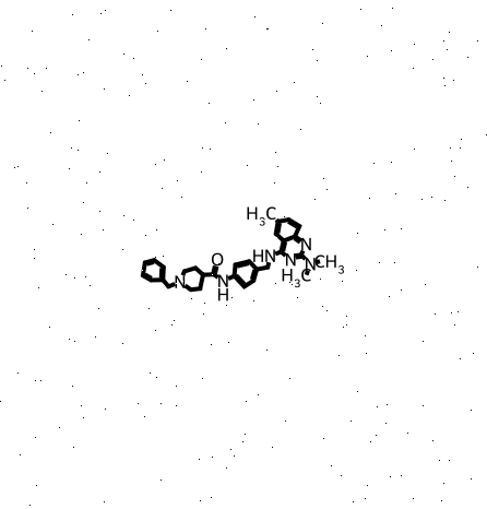 Cc1ccc2nc(N(C)C)nc(NCc3ccc(NC(=O)C4CCN(Cc5ccccc5)CC4)cc3)c2c1